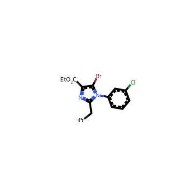 CCOC(=O)c1nc(CC(C)C)n(-c2cccc(Cl)c2)c1Br